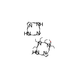 C1=Cc2cc3ccc(cc4nc(cc5ccc(cc1n2)[nH]5)C=C4)[nH]3.CCC1=C(CC)c2nc1c(CC)c1[nH]c(cc3nc(cc4c(CC)c(CC)c(c2CC)n4CC)C=C3)cc1CC